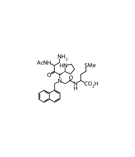 CSCCC(NC(=O)CN(Cc1cccc2ccccc12)C(C(=O)C(CN)NC(C)=O)[C@@H]1CCCN1)C(=O)O